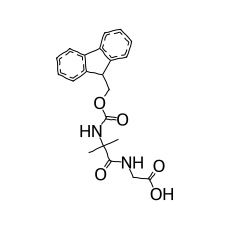 CC(C)(NC(=O)OCC1c2ccccc2-c2ccccc21)C(=O)NCC(=O)O